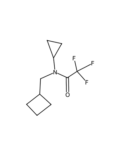 O=C(N(CC1CCC1)C1CC1)C(F)(F)F